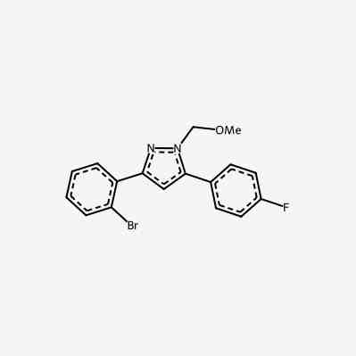 COCn1nc(-c2ccccc2Br)cc1-c1ccc(F)cc1